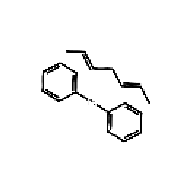 CC=CCC=CC.c1cc[c]([Pt][c]2ccccc2)cc1